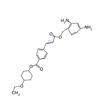 CCOC1CCC(OC(=O)c2ccc(/C=C/C(=O)OCc3ccc(N)cc3N)cc2)CC1